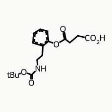 CC(C)(C)OC(=O)NCCc1ccccc1OC(=O)CCC(=O)O